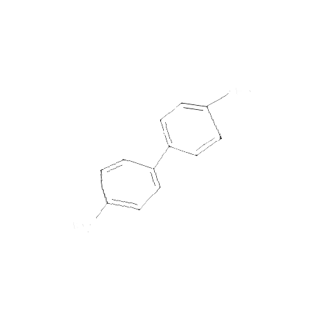 O=Cc1ccc(-c2ccc(C(=O)O)cc2)cc1